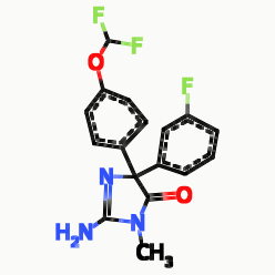 CN1C(=O)C(c2ccc(OC(F)F)cc2)(c2cccc(F)c2)N=C1N